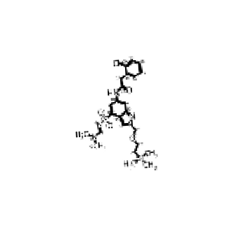 CN(C)C=NS(=O)(=O)c1cc(NC(=O)Cc2ccccc2Cl)cc2nn(COCC[Si](C)(C)C)cc12